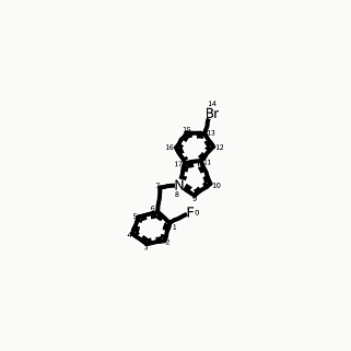 Fc1ccccc1Cn1ccc2cc(Br)ccc21